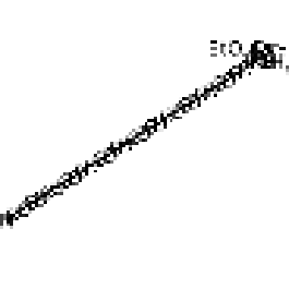 CCOC(=O)C1=C[C@@H](OC(CC)CC)[C@H](C)[C@@H](NC(=O)CCOCCOCCOCCOCCOCCOCCOCCOCCOCCOCCOCCOCCOCCOCCOCCOCCOCCOCCOCCOCCOCCOCCOCCOCCOCCOCCOCCOCCN)C1